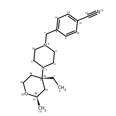 CC[C@]1(N2CCN(Cc3ccc(C#N)cc3)CC2)CCO[C@H](C)C1